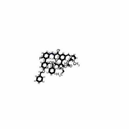 CCn1cc(-c2cc(Cn3ccn(C)c3=NC(=O)O)cc3c2OC/C(=C\c2ccc(F)c(-c4ccc(OCc5ccccc5)nc4OCc4ccccc4)c2)C3=O)c(C(F)(F)F)n1